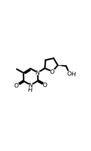 Cc1cn([C]2CC[C@@H](CO)O2)c(=O)[nH]c1=O